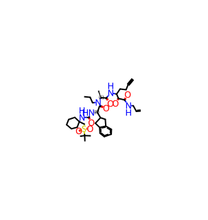 C#CCCC(NC(=O)[C@H](C)N(CCC)C(=O)[C@@H](NC(=O)NC1(CS(=O)(=O)C(C)(C)C)CCCCC1)C1Cc2ccccc2C1)C(=O)C(=O)NCC=C